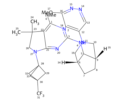 CNc1nc(NC2[C@@H]3CC[C@H]2CN(c2cnnc(OC)c2)C3)nc2c1C(C)(C)CN2C12CC(C(F)(F)F)(C1)C2